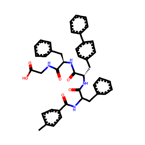 Cc1ccc(C(=O)NC(Cc2ccccc2)C(=O)N[C@@H](Cc2ccc(-c3ccccc3)cc2)C(=O)N[C@H](Cc2ccccc2)C(=O)NCC(=O)O)cc1